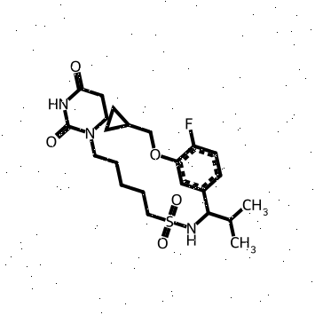 CC(C)C(NS(=O)(=O)CCCCCN1CCC(=O)NC1=O)c1ccc(F)c(OCC2CC2)c1